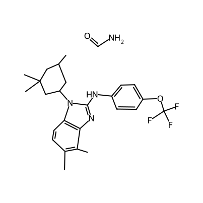 Cc1ccc2c(nc(Nc3ccc(OC(F)(F)F)cc3)n2C2CC(C)CC(C)(C)C2)c1C.NC=O